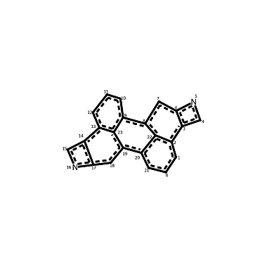 c1cc2c3cnc3cc3c4cccc5c6cnc6cc(c(c1)c23)c54